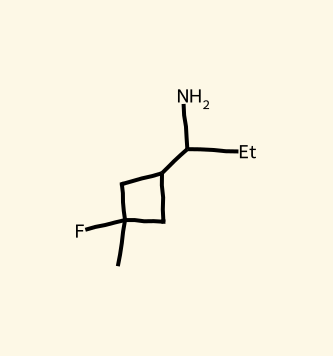 CCC(N)C1CC(C)(F)C1